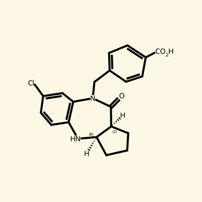 O=C(O)c1ccc(CN2C(=O)[C@H]3CCC[C@H]3Nc3ccc(Cl)cc32)cc1